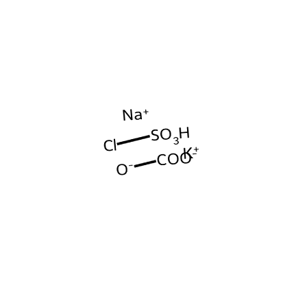 O=C([O-])[O-].O=S(=O)(O)Cl.[K+].[Na+]